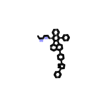 C/C=C\C=C/Cc1c2c(c(-c3ccccc3)c3ccccc13)-c1ccc(-c3ccc(-c4ccc(-c5ccccc5)s4)cc3)c3cccc-2c13